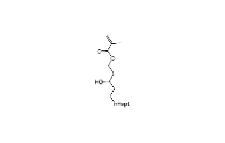 C=C(C)C(=O)OCCC(O)CCCCCCCCC